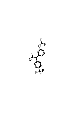 CC(=O)C(c1ccc(C(F)(F)F)nc1)c1cccc(OC(F)F)c1